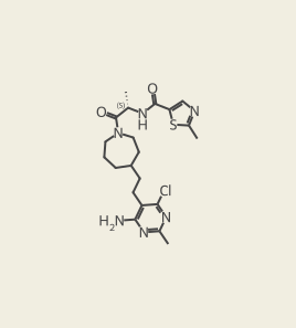 Cc1nc(N)c(CCC2CCCN(C(=O)[C@H](C)NC(=O)c3cnc(C)s3)CC2)c(Cl)n1